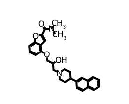 CN(C)C(=O)c1cc2c(OCC(O)CN3CCC(c4ccc5ccccc5c4)CC3)cccc2o1